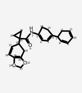 O=C(NC1=CC=C(C2C=CC=CC2)CC1)C1(C2C=CC3=C(C2)OCO3)CC1